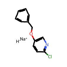 Clc1ccc(OCc2ccccc2)cn1.[H-].[Na+]